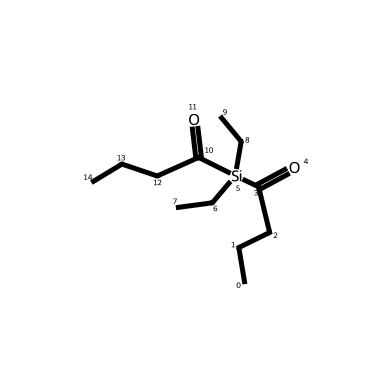 CCCC(=O)[Si](CC)(CC)C(=O)CCC